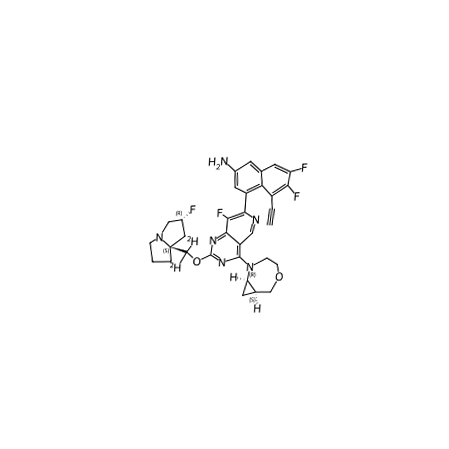 [2H]C([2H])(Oc1nc(N2CCOC[C@H]3C[C@H]32)c2cnc(-c3cc(N)cc4cc(F)c(F)c(C#C)c34)c(F)c2n1)[C@@]12CCCN1C[C@H](F)C2